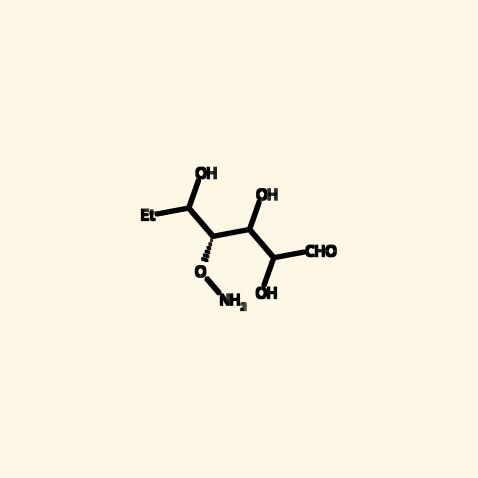 CCC(O)[C@@H](ON)C(O)C(O)C=O